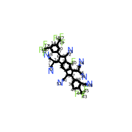 N#CC(C#N)=C1C(c2cc(C(F)(F)F)cc(C(F)(F)F)c2)=C(C#N)c2c1cc1c(c2F)C(=C(C#N)C#N)C(c2ccc(C(F)(F)F)c(C#N)c2)=C1C#N